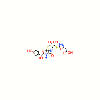 O=C(O)Cc1nnc(SCC2(C(=O)O)CS[C@@H]3C(NC(=O)C(O)c4ccc(O)cc4)C(=O)N3C2)o1